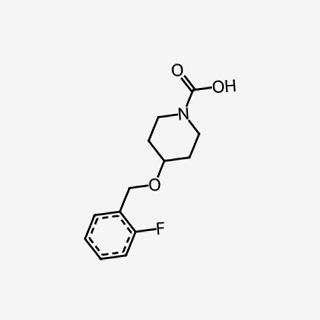 O=C(O)N1CCC(OCc2ccccc2F)CC1